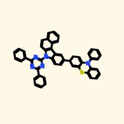 C1=C2Sc3ccccc3N(c3ccccc3)C2=CCC1c1ccc2c(c1)c1c3ccccc3ccc1n2-c1nc(-c2ccccc2)nc(-c2ccccc2)n1